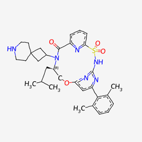 Cc1cccc(C)c1-c1cc2nc(n1)NS(=O)(=O)c1cccc(n1)C(=O)N(C1CC3(CCNCC3)C1)[C@H](CC(C)C)CO2